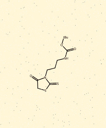 CC(C)(C)OC(=O)NCCCN1C(=O)CSC1=S